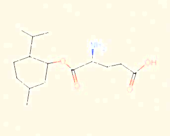 CC1CCC(C(C)C)C(OC(=O)[C@@H](N)CCC(=O)O)C1